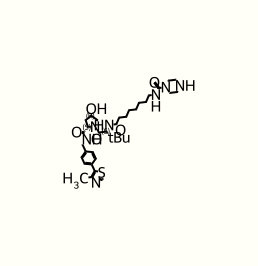 Cc1ncsc1-c1ccc(CNC(=O)[C@@H]2C[C@@H](O)CN2C(=O)[C@@H](NC(=O)CCCCCCCNC(=O)N2CCNCC2)C(C)(C)C)cc1